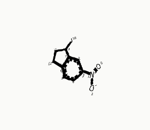 O=[N+]([O-])c1ccc2c(c1)C(I)CC2